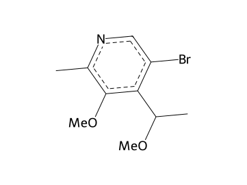 COc1c(C)ncc(Br)c1C(C)OC